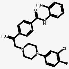 C=C(CN1CCN(c2ccc(F)c(Cl)c2)CC1)c1ccc(C(=O)Nc2ccccc2N)cc1